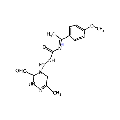 CC1=NNC(C=O)N(NNC(=O)/N=C(\C)c2ccc(OC(F)(F)F)cc2)C1